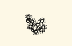 c1ccc(-c2cc3cc(c2)N(c2cccc4ccccc24)c2cccc4c2sc2c(cccc24)N3c2ccc3c(c2)oc2ccccc23)cc1